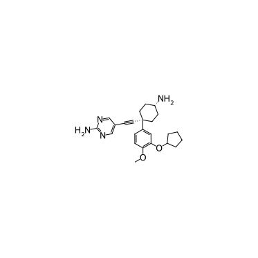 COc1ccc([C@]2(C#Cc3cnc(N)nc3)CC[C@@H](N)CC2)cc1OC1CCCC1